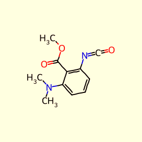 COC(=O)c1c(N=C=O)cccc1N(C)C